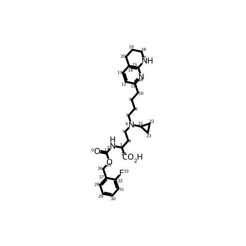 O=C(NC(CCN(CCCCc1ccc2c(n1)NCCC2)C1CC1)C(=O)O)OCc1ccccc1F